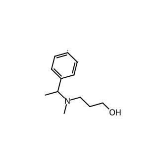 CC(c1cc[c]cc1)N(C)CCCO